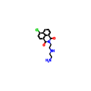 NCCNCCN1C(=O)c2cccc3c(Cl)ccc(c23)C1=O